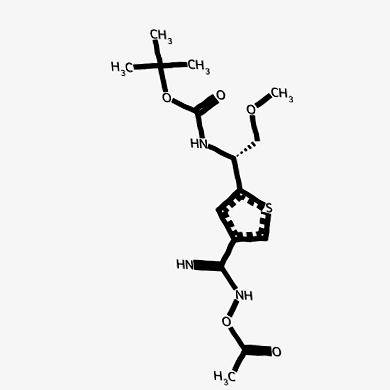 COC[C@@H](NC(=O)OC(C)(C)C)c1cc(C(=N)NOC(C)=O)cs1